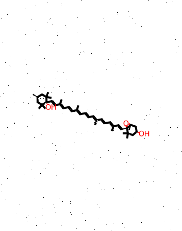 CC(/C=C/C=C(C)/C=C/[C@@]12O[C@]1(C)C[C@@H](O)CC2(C)C)=C\C=C\C=C(C)\C=C\C=C(C)\C=C\[C@]1(O)C(C)(C)C[C@H](C)CC1(C)C